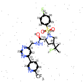 CC1(F)C[C@@]12C[C@@H](C(=O)NCc1cc(-c3ccc(C(F)(F)F)nc3)ncn1)N(S(=O)(=O)c1ccc(F)cc1)C2